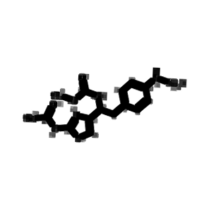 CC(C)(C)OC(=O)NC(Cc1ccc(NS(=O)(=O)O)cc1)c1csc(OC(=O)C(C)(C)C)n1